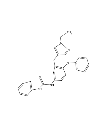 CCn1cc(Cc2cc(NC(=O)Nc3ccccc3)ccc2Oc2ccccc2)cn1